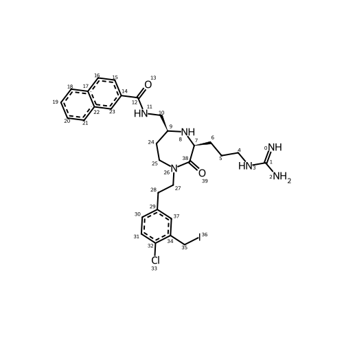 N=C(N)NCCC[C@@H]1N[C@H](CNC(=O)c2ccc3ccccc3c2)CCN(CCc2ccc(Cl)c(CI)c2)C1=O